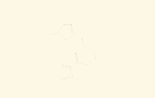 COC1C=CC(c2c(C)noc2C)=CN1Cc1cc(C)sc1C